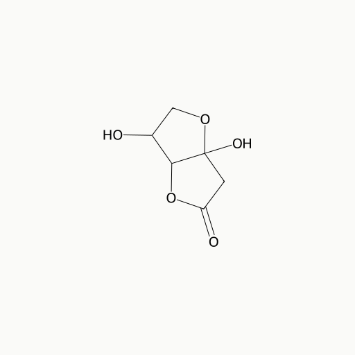 O=C1CC2(O)OCC(O)C2O1